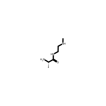 CNCCNC(=O)[C@H](C)N